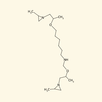 CC(CN1CC1C)OCCCCCCNCOC(C)CN1CC1C